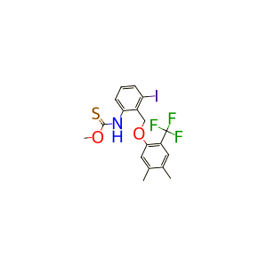 COC(=S)Nc1cccc(I)c1COc1cc(C)c(C)cc1C(F)(F)F